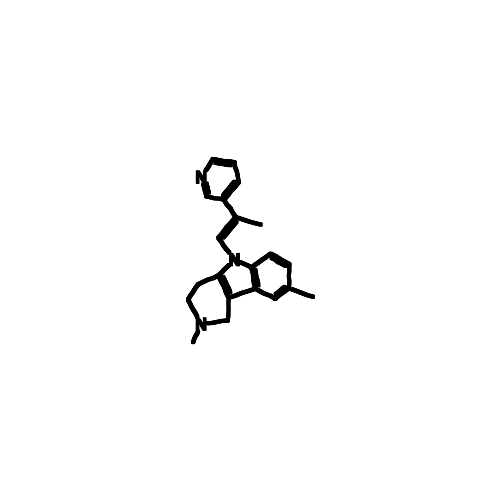 CC(=Cn1c2c(c3cc(C)ccc31)CN(C)CC2)c1cccnc1